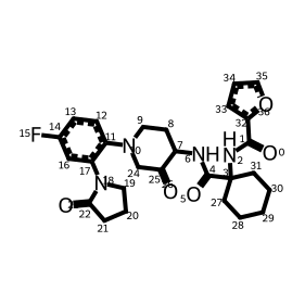 O=C(NC1(C(=O)NC2CCN(c3ccc(F)cc3N3CCCC3=O)CC2=O)CCCCC1)c1ccco1